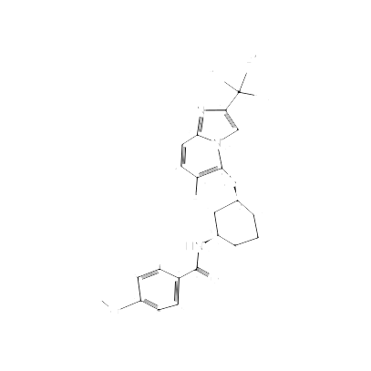 COc1ccc(C(=O)N[C@@H]2CCC[C@H](Nc3c(F)ccc4nc(C(F)(F)F)cn34)C2)cc1